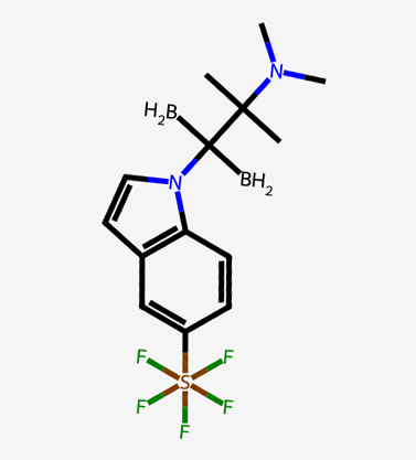 BC(B)(n1ccc2cc(S(F)(F)(F)(F)F)ccc21)C(C)(C)N(C)C